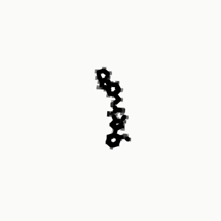 COc1ccccc1-c1cc(NC(=O)OCc2ccc3c(c2)nc2n3CCCC2)n(C)n1